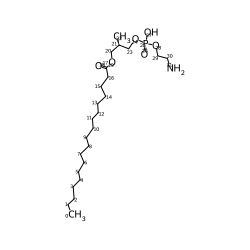 CCCCCCCCCCCCCCCCCC(=O)OC[C@@H](C)COP(=O)(O)OCCN